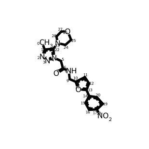 Cc1nnn(CC(=O)NCc2ccc(-c3ccc([N+](=O)[O-])cc3)o2)c1N1CCOCC1